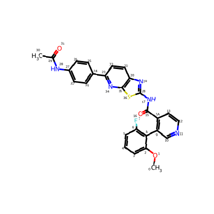 COc1cccc(F)c1-c1cnccc1C(=O)Nc1nc2ccc(-c3ccc(NC(C)=O)cc3)nc2s1